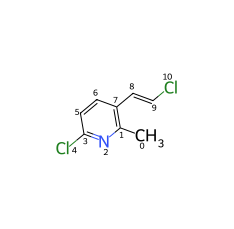 Cc1nc(Cl)ccc1C=CCl